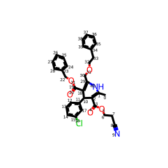 CC1=C(C(=O)OCCC#N)C(c2cccc(Cl)c2)C(C(=O)OCc2ccccc2)=C(COCCc2ccccc2)N1